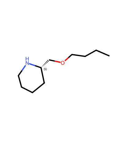 CCCCOC[C@@H]1CCCCN1